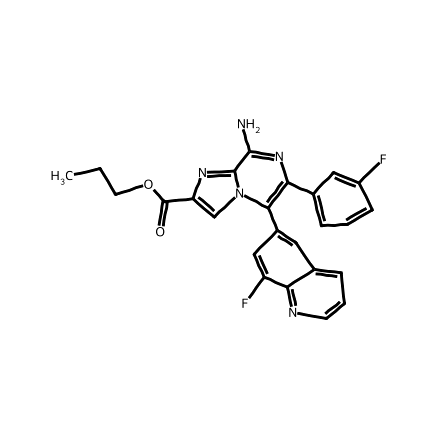 CCCOC(=O)c1cn2c(-c3cc(F)c4ncccc4c3)c(-c3cccc(F)c3)nc(N)c2n1